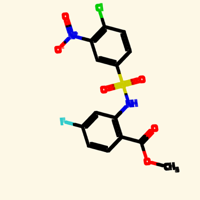 COC(=O)c1ccc(F)cc1NS(=O)(=O)c1ccc(Cl)c([N+](=O)[O-])c1